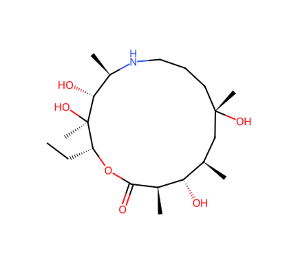 CC[C@H]1OC(=O)[C@H](C)[C@@H](O)[C@H](C)C[C@@](C)(O)CCCN[C@H](C)[C@@H](O)[C@]1(C)O